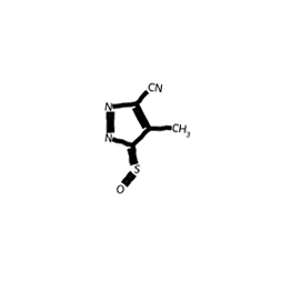 CC1=C(C#N)N=NC1=S=O